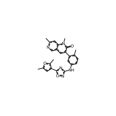 Cc1cc2c(cn1)cc(-c1cc(Nc3noc(-c4cc(C)oc4C)n3)ccc1C)c(=O)n2C